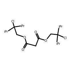 CC(C)C(Cl)(COC(=O)CC(=O)OCC(Cl)(C(C)C)C(C)C)C(C)C